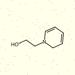 OCCN1C=CC=CC1